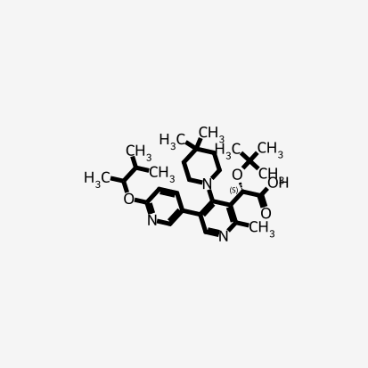 Cc1ncc(-c2ccc(OC(C)C(C)C)nc2)c(N2CCC(C)(C)CC2)c1[C@H](OC(C)(C)C)C(=O)O